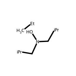 CC(C)CN(O)CC(C)C.CCC